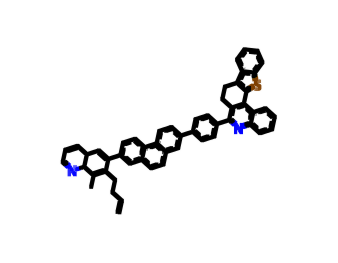 C=CCCC1=C(C)C2N=CC=CC2C=C1c1ccc2c(ccc3cc(-c4ccc(-c5nc6ccccc6c6c5CCc5c-6sc6ccccc56)cc4)ccc32)c1